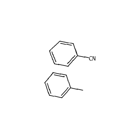 Cc1ccccc1.N#Cc1ccccc1